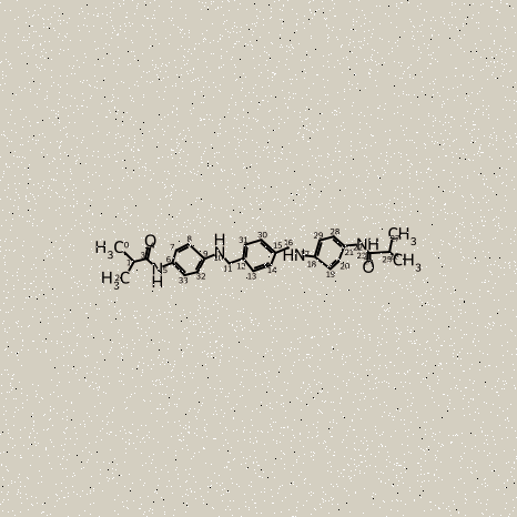 CC(C)C(=O)Nc1ccc(NCc2ccc(CNc3ccc(NC(=O)C(C)C)cc3)cc2)cc1